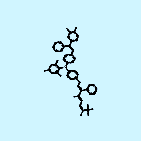 C/C(=C/C=C(C)/C(=C/Cc1ccc(N(c2ccc(/C=C(\c3ccccc3)c3ccc(C)c(C)c3)cc2)c2c(C)cc(C)cc2C)cc1)c1ccccc1)C(C)(C)C